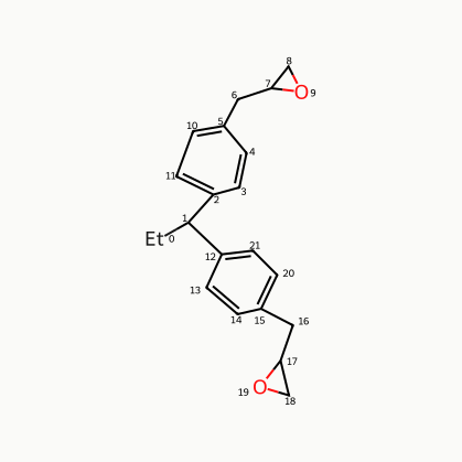 CCC(c1ccc(CC2CO2)cc1)c1ccc(CC2CO2)cc1